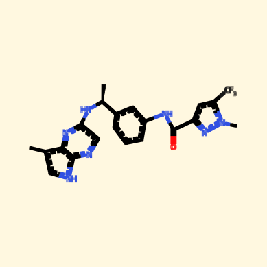 Cc1c[nH]c2ncc(N[C@@H](C)c3cccc(NC(=O)c4cc(C(F)(F)F)n(C)n4)c3)nc12